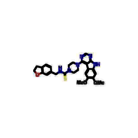 COc1cc2[nH]c3ncnc(N4CCN(C(=S)NCc5ccc6c(c5)OCC6)CC4)c3c2cc1OC